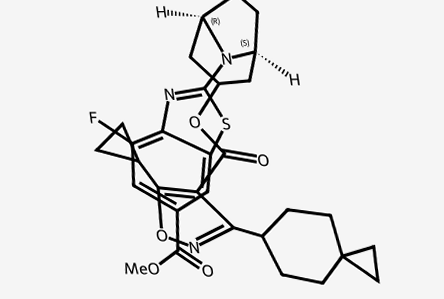 COC(=O)c1cc(F)c2nc(N3[C@@H]4CC[C@H]3CC(OC(=O)c3c(C5CCC6(CC5)CC6)noc3C3CC3)C4)sc2c1